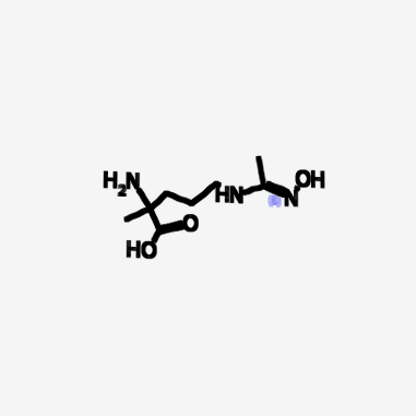 C/C(=N\O)NCCCC(C)(N)C(=O)O